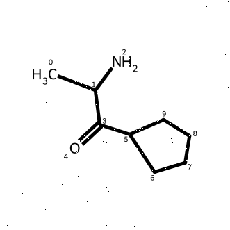 CC(N)C(=O)C1CCCC1